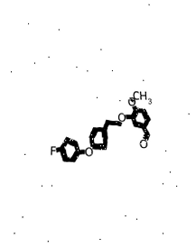 COc1ccc(C=O)cc1OCCc1ccc(Oc2ccc(F)cc2)cc1